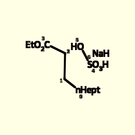 CCCCCCCCCC(=O)OCC.O=S(=O)(O)O.[NaH]